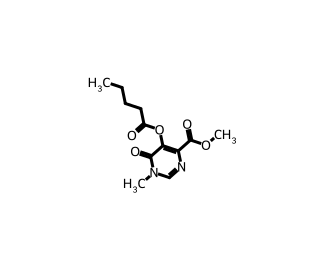 CCCCC(=O)Oc1c(C(=O)OC)ncn(C)c1=O